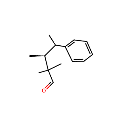 CC(c1ccccc1)[C@H](C)C(C)(C)C=O